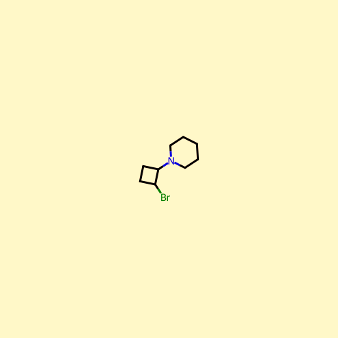 BrC1CCC1N1CCCCC1